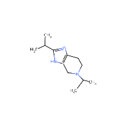 CC(C)c1nc2c([nH]1)CN(C(C)C)CC2